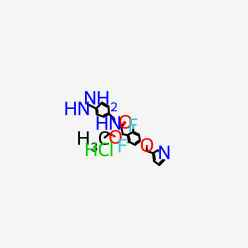 CCO[C@H](C(=O)NCc1ccc(C(=N)N)cc1)c1c(F)cc(OCc2cccnc2)cc1F.Cl